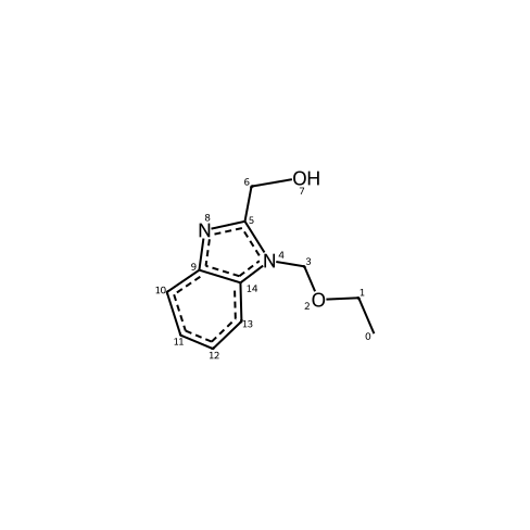 CCOCn1c(CO)nc2ccccc21